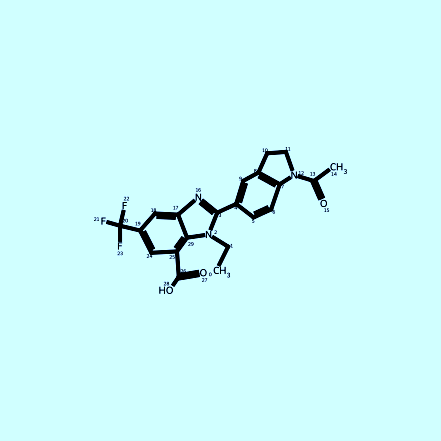 CCn1c(-c2ccc3c(c2)CCN3C(C)=O)nc2cc(C(F)(F)F)cc(C(=O)O)c21